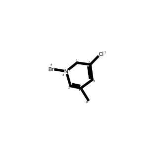 CC1=CN(Br)CC(Cl)=C1